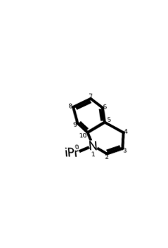 CC(C)N1C=CCc2ccccc21